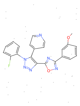 COc1cccc(-c2noc(-c3nnn(-c4ccccc4F)c3-c3ccncc3)n2)c1